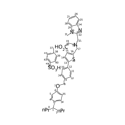 CCCC(CCC)c1ccc(OCc2ccc(-c3ccc(CN(CC(=O)O)Cc4nc5ccccc5n4C)s3)cc2)cc1.Cc1ccc(S(=O)(=O)O)cc1